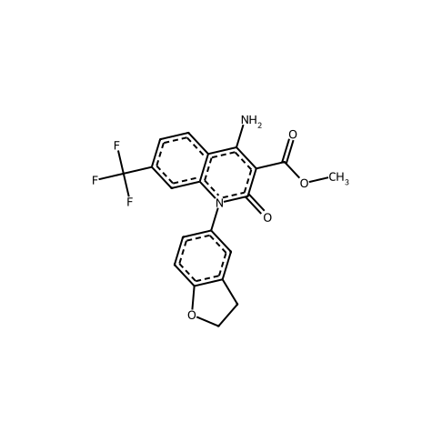 COC(=O)c1c(N)c2ccc(C(F)(F)F)cc2n(-c2ccc3c(c2)CCO3)c1=O